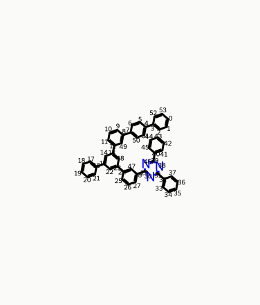 c1ccc(-c2ccc(-c3cccc(-c4cc(-c5ccccc5)cc(-c5cccc(-c6nc(-c7ccccc7)nc(-c7ccccc7)n6)c5)c4)c3)cc2)cc1